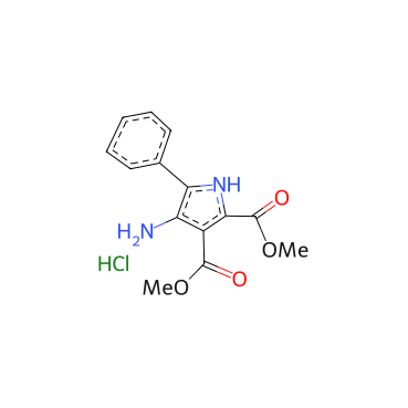 COC(=O)c1[nH]c(-c2ccccc2)c(N)c1C(=O)OC.Cl